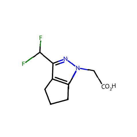 O=C(O)Cn1nc(C(F)F)c2c1CCC2